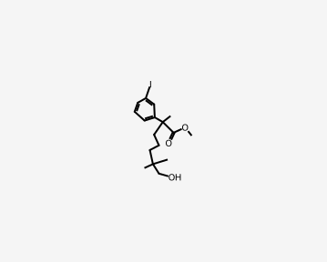 COC(=O)C(C)(CCCC(C)(C)CO)c1cccc(I)c1